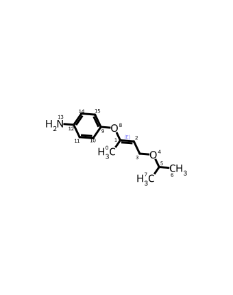 C/C(=C\COC(C)C)Oc1ccc(N)cc1